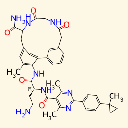 Cc1cc2cc(c1NC(=O)[C@H](CCN)NC(=O)c1c(C)nc(-c3ccc(C4(C)CC4)cc3)nc1C)-c1cccc(c1)CC(=O)NCC(=O)NC(C(N)=O)C2